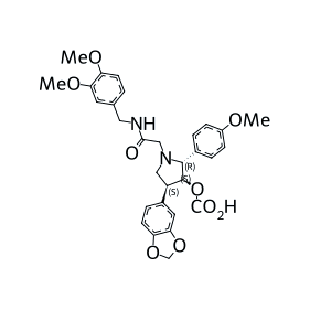 COc1ccc([C@@H]2[C@@H](OC(=O)O)[C@@H](c3ccc4c(c3)OCO4)CN2CC(=O)NCc2ccc(OC)c(OC)c2)cc1